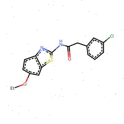 CCOc1ccc2nc(NC(=O)Cc3cccc(Cl)c3)sc2c1